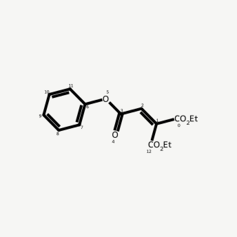 CCOC(=O)C(=CC(=O)Oc1ccccc1)C(=O)OCC